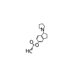 C#CC(=O)Oc1ccc2c(c1)CCC2N1CCCC1